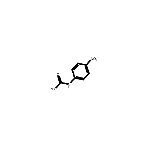 CCCC(=O)Nc1ccc([N+](=O)[O-])cc1